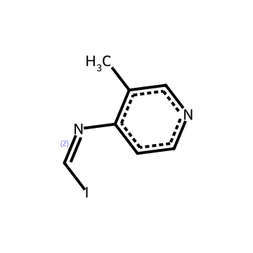 Cc1cnccc1/N=C\I